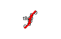 C=C(C)C(=O)CCCCCCOc1ccc(C(=O)Oc2ccc(OC(=O)c3ccc(OCCCCCCC(=O)C(=C)C)cc3)c(C(C)(C)C)c2)cc1